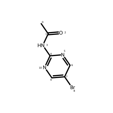 CC(=O)Nc1ncc(Br)cn1